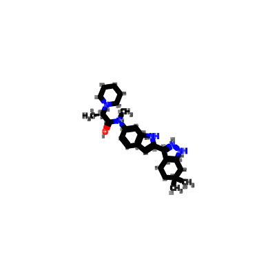 C[C@@H](C(=O)N(C)c1ccc2cc(-c3n[nH]c4c3CCC(C)(C)C4)[nH]c2c1)N1CCCCC1